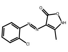 Cc1[nH]oc(=O)c1N=Nc1ccccc1Cl